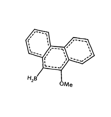 Bc1c(OC)c2ccccc2c2ccccc12